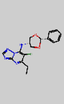 CCc1nc2ncnn2c(N[C@H]2CO[C@@H](c3ccccc3)OC2)c1Cl